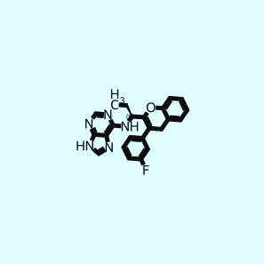 CC[C@H](Nc1ncnc2[nH]cnc12)C1=C(c2cccc(F)c2)Cc2ccccc2O1